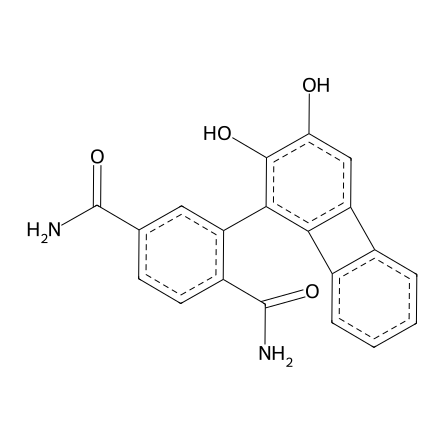 NC(=O)c1ccc(C(N)=O)c(-c2c(O)c(O)cc3c2-c2ccccc2-3)c1